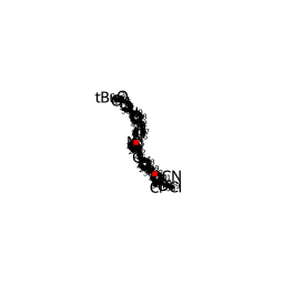 CC(C)(C)OC(=O)N1CCC(N2CCC(CN3CCN(c4nccc(COc5ccc(C(C)(C)c6cc(Cl)c(OCCCl)c(C#N)c6)cc5)n4)CC3)CC2)CC1